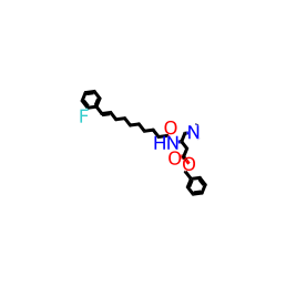 CN(C)CC(CC(=O)OCc1ccccc1)NC(=O)CCCCCCCC=Cc1ccccc1F